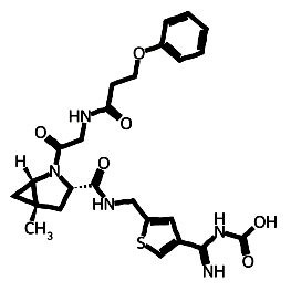 C[C@@]12C[C@@H]1N(C(=O)CNC(=O)CCOc1ccccc1)[C@H](C(=O)NCc1cc(C(=N)NC(=O)O)cs1)C2